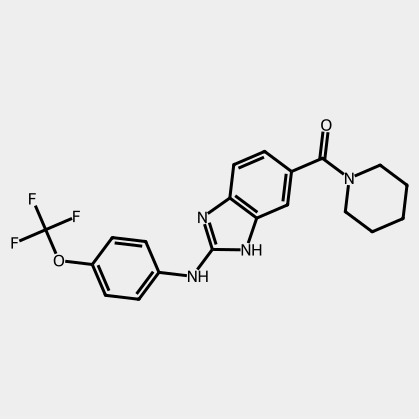 O=C(c1ccc2nc(Nc3ccc(OC(F)(F)F)cc3)[nH]c2c1)N1CCCCC1